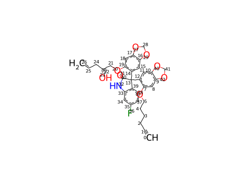 C#CCCCCOc1cc2c(cc1C1(c3cc4c(cc3OC[C@H](O)CC=C)OCO4)C(=O)Nc3cc(F)ccc31)OCO2